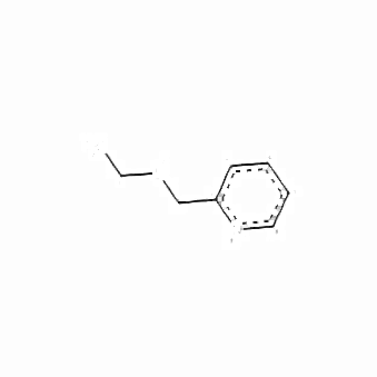 CCSCc1ccccn1